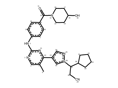 Cc1cnc(Nc2ccc(C(=O)N3CCC(O)CC3)cc2)nc1-c1cnn(C(CC#N)C2CCCC2)c1